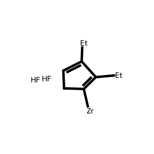 CCC1=CC[C]([Zr])=C1CC.F.F